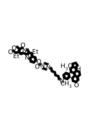 CCc1c2c(nc3ccc(OC(=O)N4CCN(CCCCCCN(C)c5ccc([C@H]6C[C@]7(C)CCCC7[C@@H]7CCC8=CC(=O)CCC8=C76)cc5)CC4)cc13)-c1cc3c(c(=O)n1C2)COC(=O)[C@@H]3CC